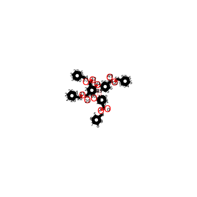 O=C(OCc1ccccc1)c1ccc2c(c1)Oc1c(C(=O)OCc3ccccc3)cc(C(=O)OCc3ccccc3)c3c1B2c1ccc(C(=O)OCc2ccccc2)cc1O3